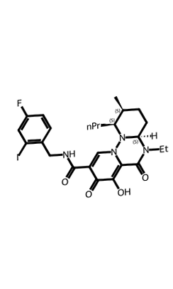 CCC[C@H]1[C@@H](C)CC[C@H]2N(CC)C(=O)c3c(O)c(=O)c(C(=O)NCc4ccc(F)cc4I)cn3N12